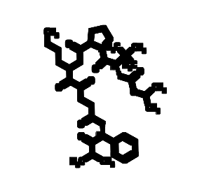 CCCCC(CC(=O)C1CCCN1C(=O)[C@@H](CC(=O)OC(C)C)C(C)(C)C)C(=O)C(=O)CCC(=O)C[C@H](C(=O)C(C)C)c1ccccc1